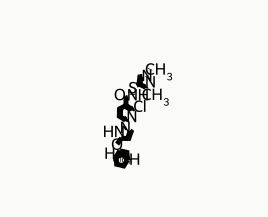 Cc1nn(C)cc1SNC(=O)c1ccc(N2C=CC(OC3C[C@H]4CC[C@@H]3C4)N2)nc1Cl